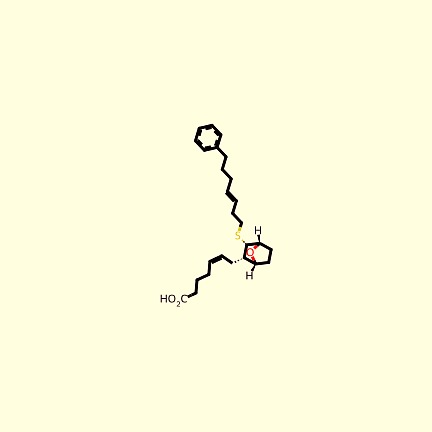 O=C(O)CCC/C=C\C[C@@H]1[C@H](SCCC=CCCCc2ccccc2)[C@@H]2CC[C@H]1O2